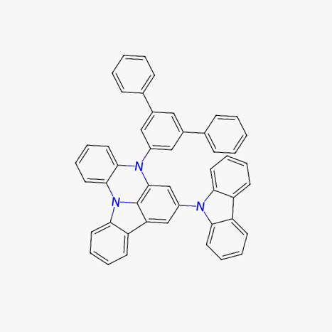 c1ccc(-c2cc(-c3ccccc3)cc(N3c4ccccc4-n4c5ccccc5c5cc(-n6c7ccccc7c7ccccc76)cc3c54)c2)cc1